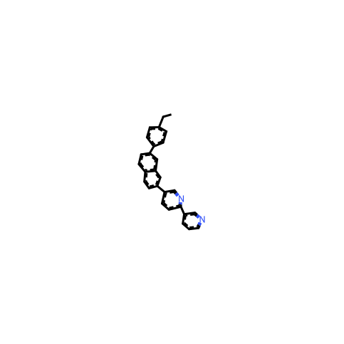 CCc1ccc(-c2ccc3ccc(-c4ccc(-c5cccnc5)nc4)cc3c2)cc1